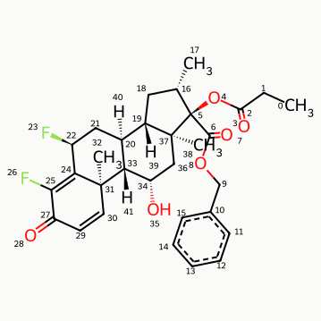 CCC(=O)O[C@]1(C(=O)OCc2ccccc2)[C@@H](C)C[C@H]2[C@@H]3C[C@H](F)C4=C(F)C(=O)C=C[C@]4(C)[C@H]3[C@@H](O)C[C@@]21C